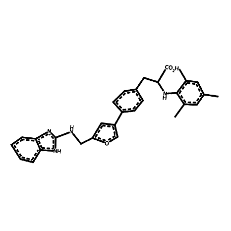 Cc1cc(C)c(NC(Cc2ccc(-c3coc(CNc4nc5ccccc5[nH]4)c3)cc2)C(=O)O)c(C)c1